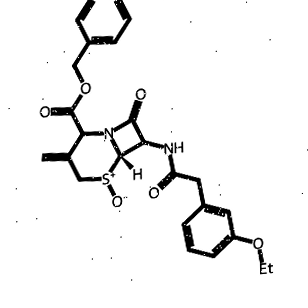 C=C1C[S+]([O-])[C@H]2C(NC(=O)Cc3cccc(OCC)c3)C(=O)N2C1C(=O)OCc1ccccc1